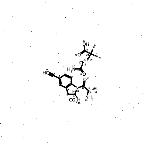 C#Cc1ccc2c(c1)C[C@H](C(=O)O)N2C(=O)[C@@H](N)CC.NC(=O)C(F)(F)F.O=C(O)C(F)(F)F